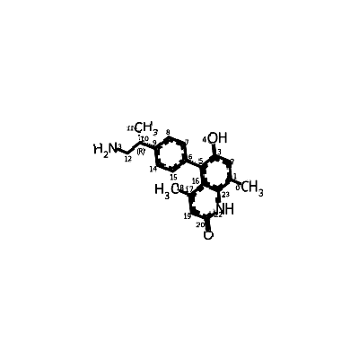 Cc1cc(O)c(-c2ccc([C@@H](C)CN)cc2)c2c(C)cc(=O)[nH]c12